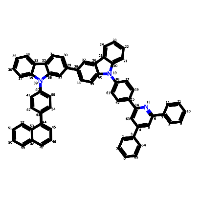 c1ccc(-c2cc(-c3ccccc3)nc(-c3ccc(-n4c5ccccc5c5cc(-c6ccc7c8ccccc8n(-c8ccc(-c9cccc%10ccccc9%10)cc8)c7c6)ccc54)cc3)c2)cc1